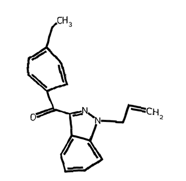 C=CCn1nc(C(=O)c2ccc(CC)cc2)c2ccccc21